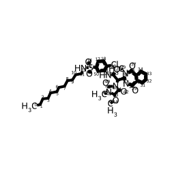 CCCCCCCCCCCCNS(=O)(=O)c1ccc(Cl)c(NC(=O)C(c2nc(=O)c3ccccc3c(=O)n2C)N2C(=O)C(OC)N(C)C2=O)c1